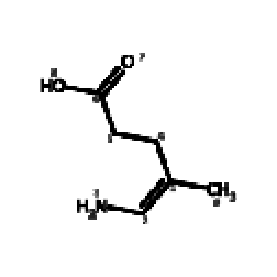 CC(=CN)CCC(=O)O